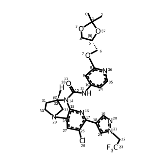 CC1(C)OC[C@@H](COc2cc(NC(=O)N3c4nc(-c5cnn(CC(F)(F)F)c5)c(Cl)cc4N4CC[C@H]3C4)ccn2)O1